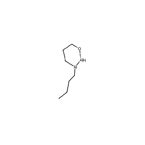 CCC[CH2][Al]1[CH2]CC[O][AlH]1